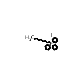 CCCCCCCCC[P+](c1ccccc1)(c1ccccc1)c1ccccc1.[I-]